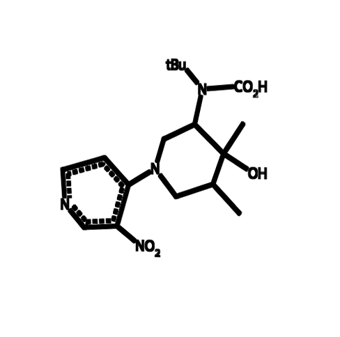 CC1CN(c2ccncc2[N+](=O)[O-])CC(N(C(=O)O)C(C)(C)C)C1(C)O